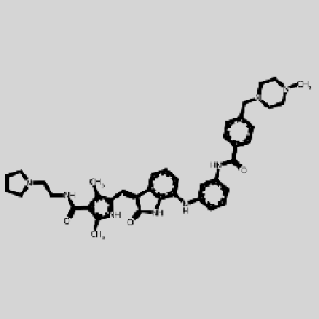 Cc1[nH]c(C=C2C(=O)Nc3c(Nc4cccc(NC(=O)c5ccc(CN6CCN(C)CC6)cc5)c4)cccc32)c(C)c1C(=O)NCCN1CCCC1